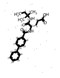 CCC(C)(C)NC(=O)[C@H](CCC(=O)O)NC(=O)c1ccc(-c2ccccc2)cc1